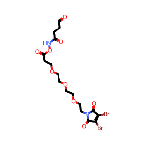 O=CCCC(=O)NOC(=O)CCOCCOCCOCCN1C(=O)C(Br)=C(Br)C1=O